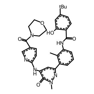 Cc1c(NC(=O)c2ccc(C(C)(C)C)cc2O)cccc1-c1cc(Nc2ccc(C(=O)N3CCOCC3)cn2)c(=O)n(C)n1